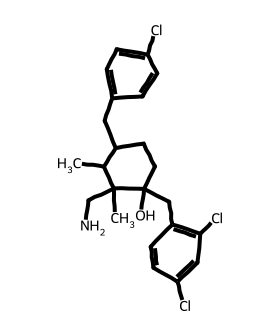 CC1C(Cc2ccc(Cl)cc2)CCC(O)(Cc2ccc(Cl)cc2Cl)C1(C)CN